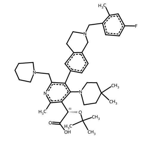 Cc1cc(F)ccc1CN1CCc2cc(-c3c(CN4CCCCC4)nc(C)c([C@H](OC(C)(C)C)C(=O)O)c3N3CCC(C)(C)CC3)ccc2C1